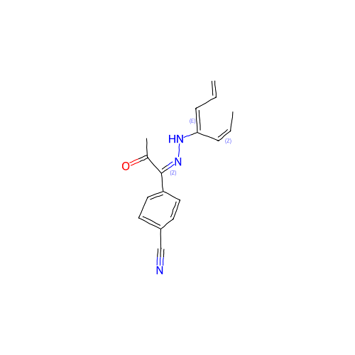 C=C/C=C(\C=C/C)N/N=C(\C(C)=O)c1ccc(C#N)cc1